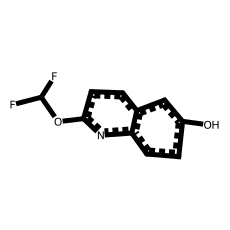 Oc1ccc2nc(OC(F)F)ccc2c1